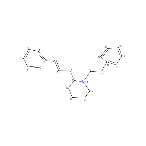 C(=Cc1ccccc1)CC1CCCCN1CCc1ccccc1